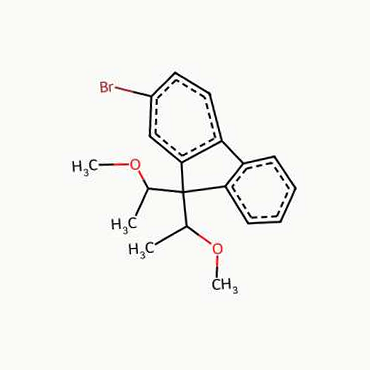 COC(C)C1(C(C)OC)c2ccccc2-c2ccc(Br)cc21